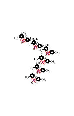 Cc1ccc(OP([O-])(=S)Oc2ccc(C)cc2C)c(C)c1.Cc1ccc(OP([O-])(=S)Oc2ccc(C)cc2C)c(C)c1.Cc1ccc(OP([O-])(=S)Oc2ccc(C)cc2C)c(C)c1.Cc1ccc(OP([O-])(=S)Oc2ccc(C)cc2C)c(C)c1.Cc1ccc(OP([O-])(=S)Oc2ccc(C)cc2C)c(C)c1.Cc1ccc(OP([O-])(=S)Oc2ccc(C)cc2C)c(C)c1.[Mo+6]